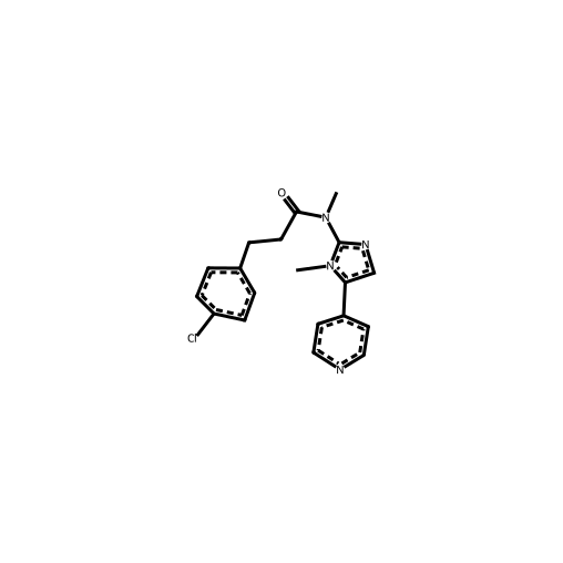 CN(C(=O)CCc1ccc(Cl)cc1)c1ncc(-c2ccncc2)n1C